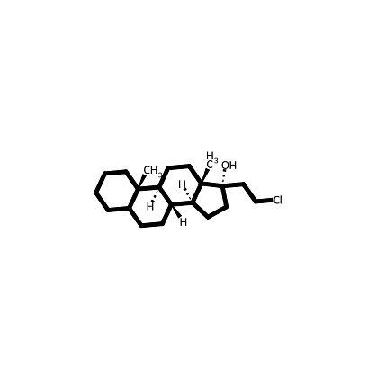 C[C@]12CCCCC1CC[C@@H]1[C@@H]2CC[C@@]2(C)[C@H]1CC[C@]2(O)CCCl